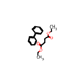 CCOC(=O)CCC(=O)OCC.c1ccc(-c2ccccc2)cc1